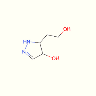 OCCC1NN=CC1O